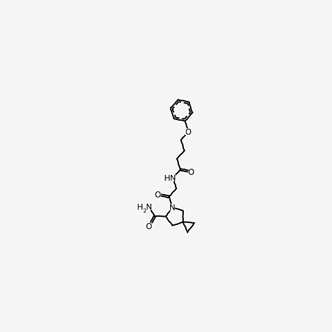 NC(=O)C1CC2(CC2)CN1C(=O)CNC(=O)CCCOc1ccccc1